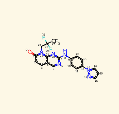 O=c1ccc2cnc(Nc3ccc(-n4cccn4)cc3)nc2n1CC(F)(F)C(F)(F)F